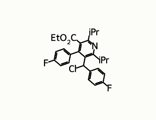 CCOC(=O)c1c(C(C)C)nc(C(C)C)c(C(Cl)c2ccc(F)cc2)c1-c1ccc(F)cc1